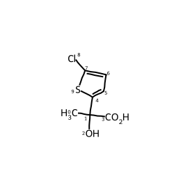 CC(O)(C(=O)O)c1ccc(Cl)s1